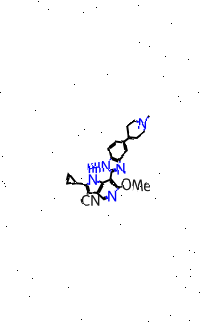 COc1ncc2c(C#N)c(C3CC3)[nH]c2c1-c1nc2cc(C3CCN(C)CC3)ccc2[nH]1